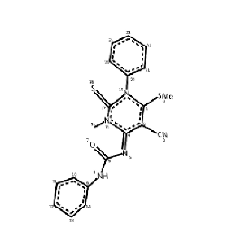 CSc1c(C#N)c(=NC(=O)Nc2ccccc2)n(C)c(=S)n1-c1ccccc1